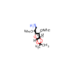 CO[C@@H]1[C@H]2OC(C)(C)O[C@H]2O[C@@H]1[C@@H](CN)OC